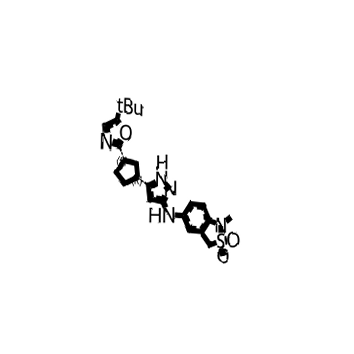 CN1c2ccc(Nc3cc([C@@H]4CC[C@H](c5ncc(C(C)(C)C)o5)C4)[nH]n3)cc2CS1(=O)=O